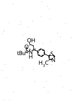 Cc1ncsc1-c1ccc([C@H](CCO)N[S@+]([O-])C(C)(C)C)cc1